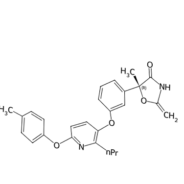 C=C1NC(=O)[C@@](C)(c2cccc(Oc3ccc(Oc4ccc(C)cc4)nc3CCC)c2)O1